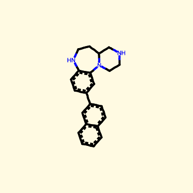 c1ccc2cc(-c3ccc4c(c3)N3CCNCC3CCN4)ccc2c1